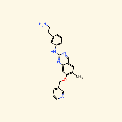 Cc1cc2cnc(Nc3cccc(CCN)c3)nc2cc1OCc1cccnc1